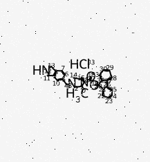 CC1CN(Cc2ccc3c(c2)CNC3)CCN1C(=O)OC1c2ccccc2-c2ccccc21.Cl